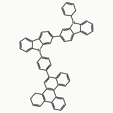 C1=CCC(n2c3ccccc3c3ccc(-c4ccc5c6ccccc6n(-c6ccc(-c7cc8c9c(c%10ccccc%10c8c8ccccc78)C=CCC9)cc6)c5c4)cc32)C=C1